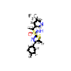 Cc1ccc(-c2nc(S(=N)(=O)C(C)c3cncc(C(F)(F)F)c3)sc2C)cc1